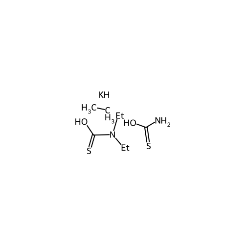 CC.CCN(CC)C(O)=S.NC(O)=S.[KH]